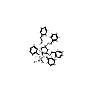 O=P(O)(O)O[C@@]1(Cc2ccccc2)O[C@H](COCc2ccccc2)[C@@H](OCc2ccccc2)C[C@@]1(Cc1ccccc1)OCc1ccccc1